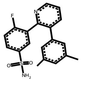 Cc1cc(C)cc(-c2cccnc2-c2cc(S(N)(=O)=O)ccc2F)c1